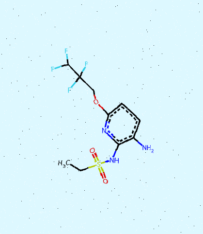 CCS(=O)(=O)Nc1nc(OCC(F)(F)C(F)F)ccc1N